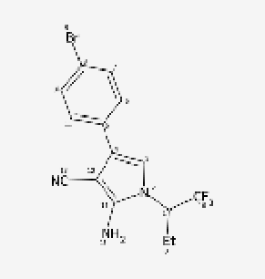 CCC(n1cc(-c2ccc(Br)cc2)c(C#N)c1N)C(F)(F)F